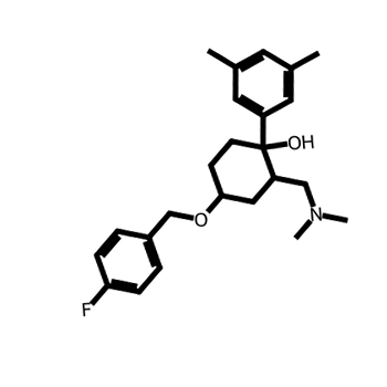 Cc1cc(C)cc(C2(O)CCC(OCc3ccc(F)cc3)CC2CN(C)C)c1